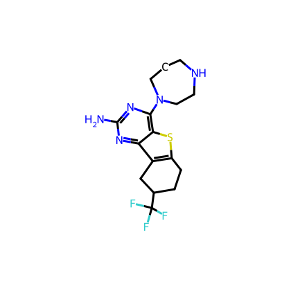 Nc1nc(N2CCCNCC2)c2sc3c(c2n1)CC(C(F)(F)F)CC3